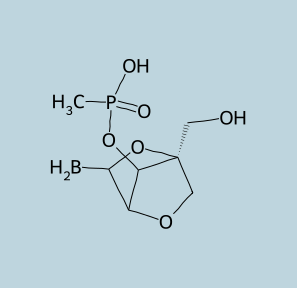 BC1O[C@@]2(CO)COC1C2OP(C)(=O)O